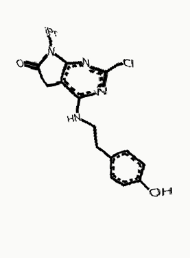 CC(C)N1C(=O)Cc2c(NCCc3ccc(O)cc3)nc(Cl)nc21